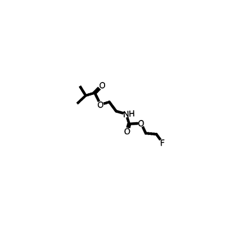 CC(C)C(=O)OCCNC(=O)OCCF